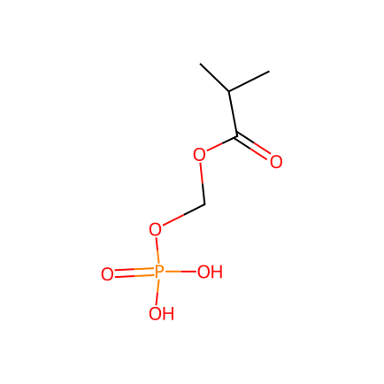 CC(C)C(=O)OCOP(=O)(O)O